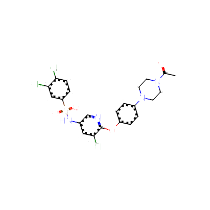 CC(=O)N1CCN(c2ccc(Oc3ncc(NS(=O)(=O)c4ccc(Cl)c(Cl)c4)cc3Cl)cc2)CC1